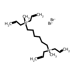 C=CC[N+](C)(CC=C)CCCCCC[N+](C)(CC=C)CC=C.[Br-].[Br-]